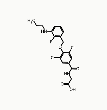 CCCNc1cccc(COc2c(Cl)cc(C(=O)NCC(=O)O)cc2Cl)c1F